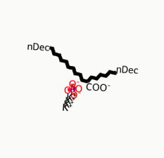 CCCCCCCCCCCCCCCCCCCCC(CCCCCCCCCCCCCCCC)C(=O)[O-].O=P([O-])([O-])[O-].[K+].[K+].[K+].[K+]